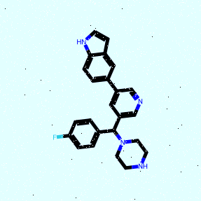 Fc1ccc(C(c2cncc(-c3ccc4[nH]ccc4c3)c2)N2CCNCC2)cc1